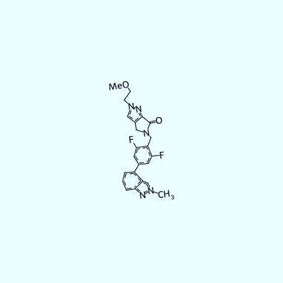 COCCn1cc2c(n1)C(=O)N(Cc1c(F)cc(-c3cccc4nn(C)cc34)cc1F)C2